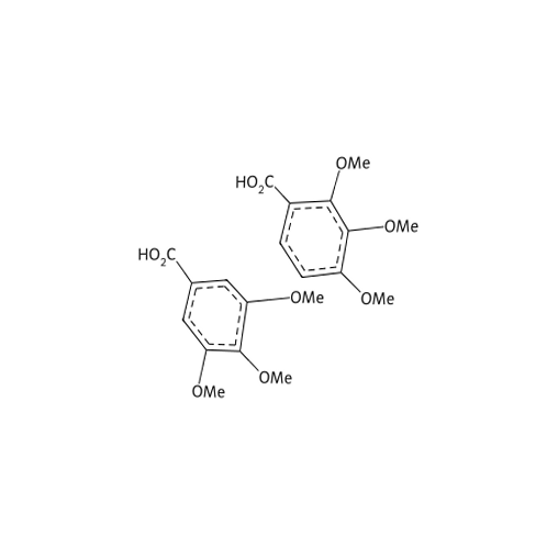 COc1cc(C(=O)O)cc(OC)c1OC.COc1ccc(C(=O)O)c(OC)c1OC